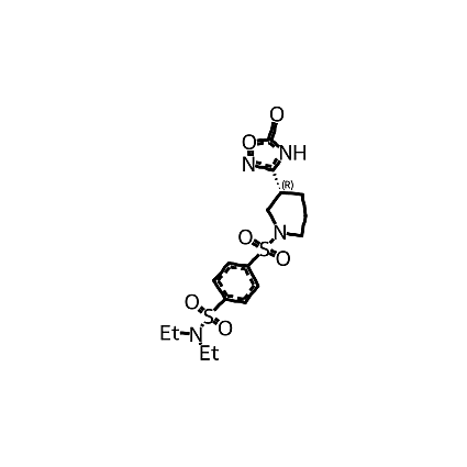 CCN(CC)S(=O)(=O)c1ccc(S(=O)(=O)N2CCC[C@@H](c3noc(=O)[nH]3)C2)cc1